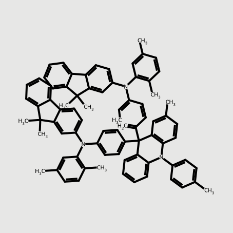 C=C(/C=C\C(=C/C)N(c1ccc2c(c1)C(C)(C)c1ccccc1-2)c1cc(C)ccc1C)C1(c2ccc(N(c3ccc4c(c3)C(C)(C)c3ccccc3-4)c3cc(C)ccc3C)cc2)c2ccccc2N(c2ccc(C)cc2)c2ccc(C)cc21